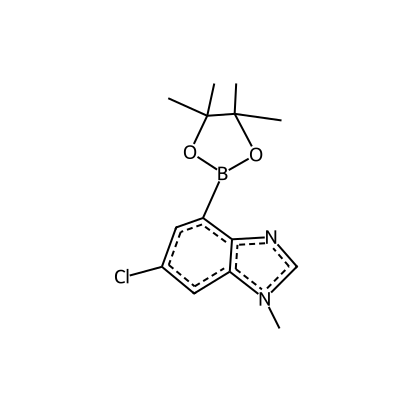 Cn1cnc2c(B3OC(C)(C)C(C)(C)O3)cc(Cl)cc21